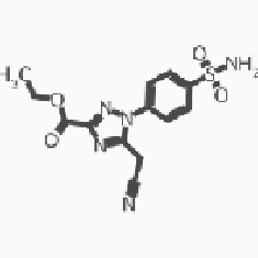 CCOC(=O)c1nc(CC#N)n(-c2ccc(S(N)(=O)=O)cc2)n1